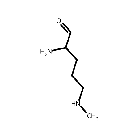 CNCCCC(N)C=O